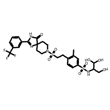 Cc1cc(S(=O)(=O)NC(CO)C(O)O)ccc1CCS(=O)(=O)N1CCC2(CC1)N=C(c1cccc(C(F)(F)F)c1)NC2=O